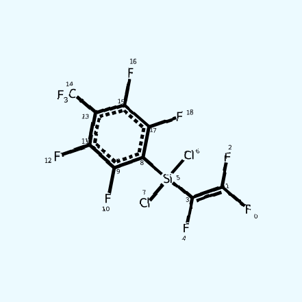 FC(F)=C(F)[Si](Cl)(Cl)c1c(F)c(F)c(C(F)(F)F)c(F)c1F